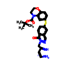 CC(C)(C)OC(=O)N1CCOc2ccc(Sc3ccc4c(=O)n(CC(=N)/C=C\N)ncc4c3)cc21